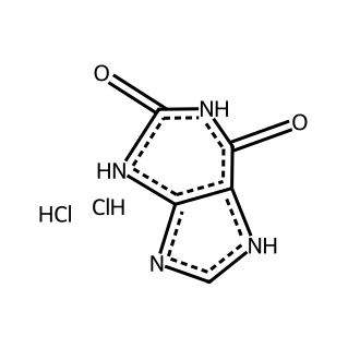 Cl.Cl.O=c1[nH]c(=O)c2[nH]cnc2[nH]1